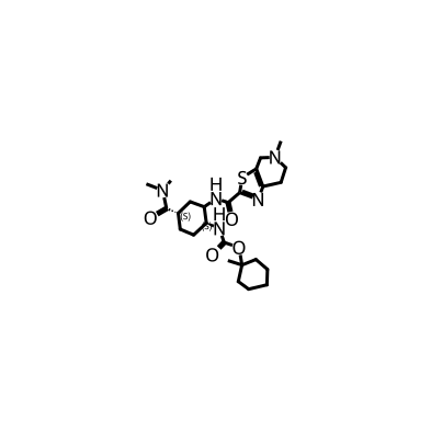 CN1CCc2nc(C(=O)NC3C[C@@H](C(=O)N(C)C)CC[C@@H]3NC(=O)OC3(C)CCCCC3)sc2C1